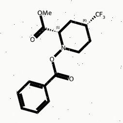 COC(=O)[C@@H]1C[C@H](C(F)(F)F)CCN1OC(=O)c1ccccc1